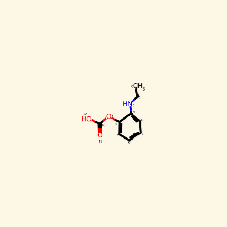 CCNc1ccccc1OC(=O)O